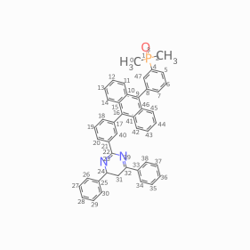 CP(C)(=O)c1cccc(-c2c3ccccc3c(-c3cccc(C4=NC(c5ccccc5)CC(c5ccccc5)=N4)c3)c3ccccc23)c1